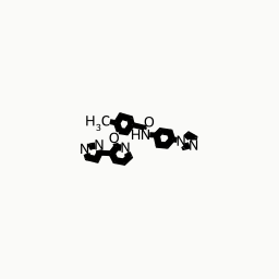 Cc1ccc(C(=O)Nc2ccc(-n3ccnc3)cc2)cc1Oc1ncccc1-c1ccncn1